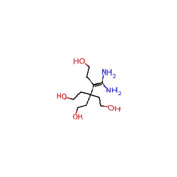 NC(N)=C(CCO)C(CCO)(CCO)CCO